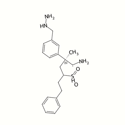 C[C@]([CH]N)(CC(CCc1ccccc1)[SH](=O)=O)c1cccc(CNN)c1